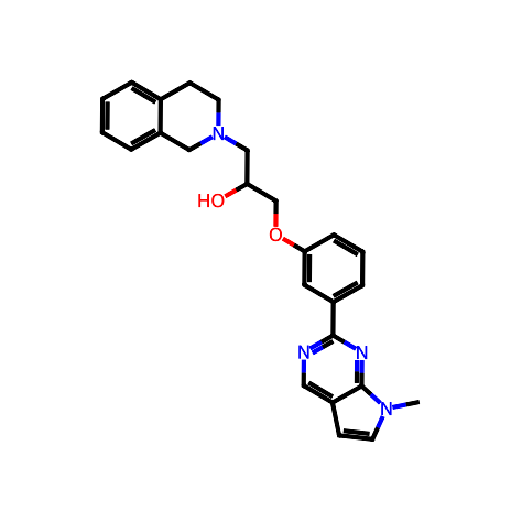 Cn1ccc2cnc(-c3cccc(OCC(O)CN4CCc5ccccc5C4)c3)nc21